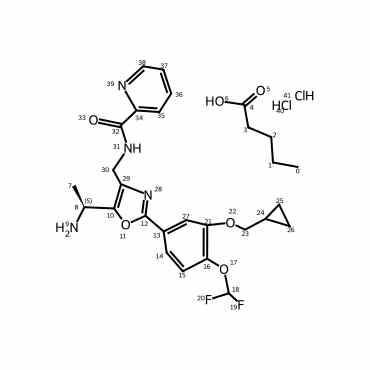 CCCCC(=O)O.C[C@H](N)c1oc(-c2ccc(OC(F)F)c(OCC3CC3)c2)nc1CNC(=O)c1ccccn1.Cl.Cl